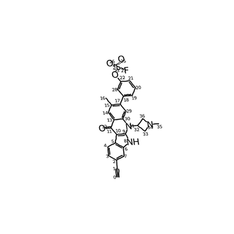 C#Cc1ccc2c(c1)[nH]c1c2c(=O)c2cc(C)c(-c3cccc(OS(=O)(=O)F)c3)cc2n1C1CN(C)C1